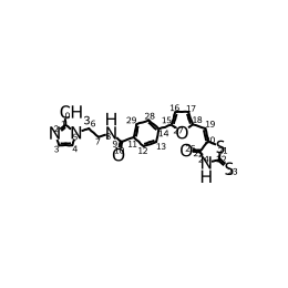 Cc1nccn1CCNC(=O)c1ccc(-c2ccc(C=C3SC(=S)NC3=O)o2)cc1